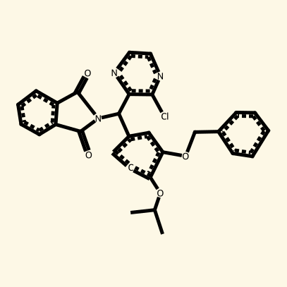 CC(C)Oc1ccc(C(c2nccnc2Cl)N2C(=O)c3ccccc3C2=O)cc1OCc1ccccc1